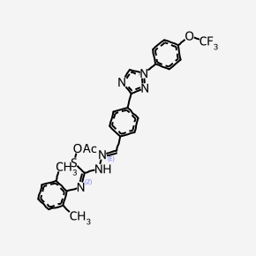 CC(=O)OS/C(=N\c1c(C)cccc1C)N/N=C/c1ccc(-c2ncn(-c3ccc(OC(F)(F)F)cc3)n2)cc1